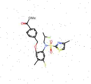 COC(=O)c1ccc(COc2cc(C)c(F)cc2N(CC(C)F)S(=O)(=O)c2nc(C)cs2)cc1